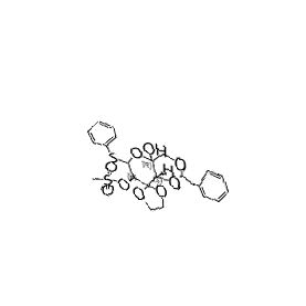 CS(=O)(=O)O[C@H]1C(Sc2ccccc2)O[C@]2(O)COC(c3ccccc3)O[C@@H]2C12OCCO2